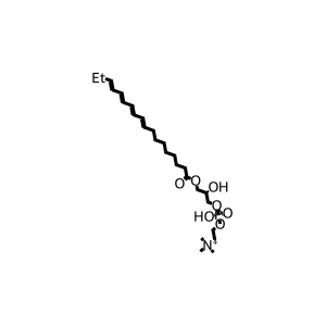 CC/C=C/C=C/C=C/C=C/CCCCCCCC(=O)OC[C@@H](O)COP(=O)(O)OCC[N+](C)(C)C